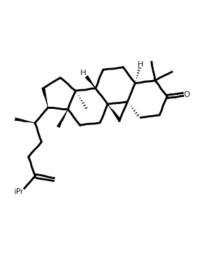 C=C(CC[C@@H](C)[C@H]1CC[C@@]2(C)[C@@H]3CC[C@H]4C(C)(C)C(=O)CC[C@@]45C[C@@]35CC[C@]12C)C(C)C